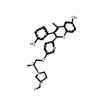 CC1=C(c2cccc(O)c2)C(c2ccc(OC[C@H](C)N3CC[C@@H](CF)C3)cn2)Oc2ccc(O)cc21